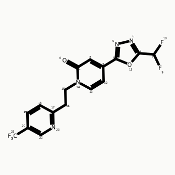 O=c1cc(-c2nnc(C(F)F)o2)ccn1CCc1ccc(C(F)(F)F)cn1